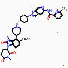 COc1ccc2c(c1C1CCN(C[C@H]3CC[C@H](n4cc5cc(NC(=O)c6cccc(C(F)(F)F)n6)ncc5n4)CC3)CC1)n(C)c(=O)n2C1CCC(=O)N(C)C1=O